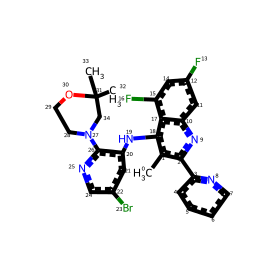 Cc1c(-c2ccccn2)nc2cc(F)cc(F)c2c1Nc1cc(Br)cnc1N1CCOC(C)(C)C1